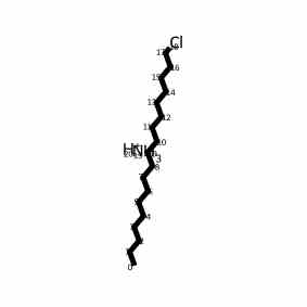 CCCCCCCCCCCCCCCCCCCl.N.[H+]